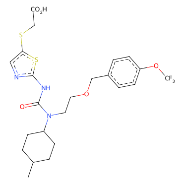 CC1CCC(N(CCOCc2ccc(OC(F)(F)F)cc2)C(=O)Nc2ncc(SCC(=O)O)s2)CC1